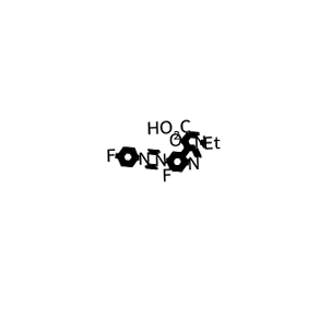 CCn1cc(C(=O)O)c(=O)c2c3cc(N4CCN(c5ccc(F)cc5)CC4)c(F)cc3ncc21